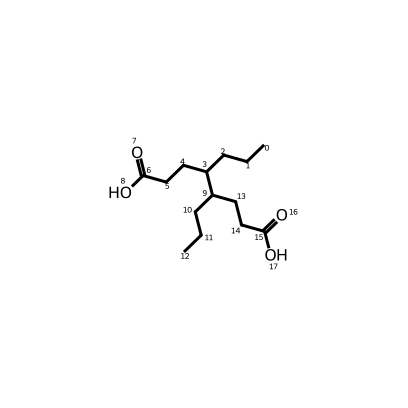 CCCC(CCC(=O)O)C(CCC)CCC(=O)O